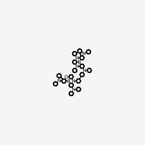 c1ccc(N(c2ccccc2)c2ccc3c(c2)N(c2cccc(-c4ccc(N(c5ccccc5)c5ccc6c(c5)N(c5ccccc5)c5cccc7c5B6c5ccc6c(c5N7c5ccccc5)c5ccccc5n6-c5ccccc5)cc4)c2)c2cccc4c2B3c2ccc3c(c2O4)c2ccccc2n3-c2ccccc2)cc1